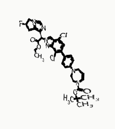 CCOC(=O)[C@@H](c1ncn2c1C[C@@H](F)C2)n1cc2c(Cl)cc(-c3ccc(N4CCCN(C(=O)OC(C)(C)C)CC4)cc3)c(Cl)c2n1